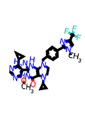 COc1ncnc(C2CC2)c1C1(N)NC(=O)C2=C(N1)N(Cc1ccc(-c3nc(C(F)(F)F)cn3C)cc1)CCN2C1CC1